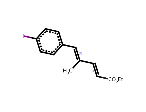 CCOC(=O)/C=C/C(C)=C/c1ccc(I)cc1